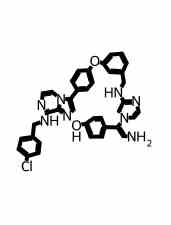 N/C=C(/c1ccc(O)cc1)N1C=CN=C(NCc2cccc(Oc3ccc(-c4cnc5c(NCc6ccc(Cl)cc6)nccn45)cc3)c2)C1